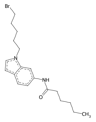 CCCCCC(=O)Nc1ccc2ccn(CCCCCBr)c2c1